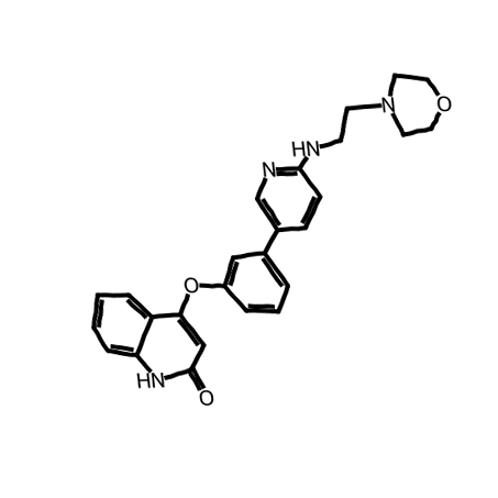 O=c1cc(Oc2cccc(-c3ccc(NCCN4CCOCC4)nc3)c2)c2ccccc2[nH]1